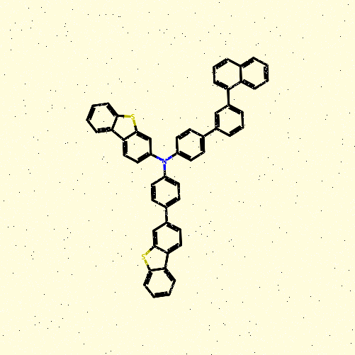 c1cc(-c2ccc(N(c3ccc(-c4ccc5c(c4)sc4ccccc45)cc3)c3ccc4c(c3)sc3ccccc34)cc2)cc(-c2cccc3ccccc23)c1